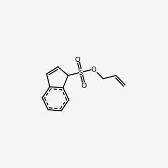 C=CCOS(=O)(=O)C1C=Cc2ccccc21